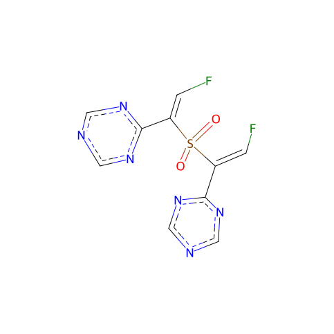 O=S(=O)(C(=CF)c1ncncn1)C(=CF)c1ncncn1